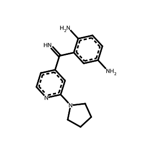 N=C(c1ccnc(N2CCCC2)c1)c1cc(N)ccc1N